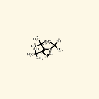 CC(C)(C)c1nnn(C(C)(C)S)c1C(C)(C)C